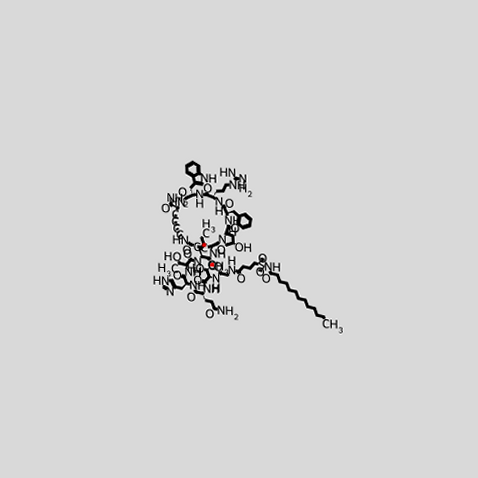 CCCCCCCCCCCCC(=O)NS(=O)(=O)CCCC(=O)NCC(=O)N[C@H](C(=O)N[C@H](CCC(N)=O)C(=O)N[C@@H](Cc1c[nH]cn1)C(=O)N[C@H](C(=O)N[C@@H](CCCC)C(=O)N[C@H]1CCC(=O)NCCCC[C@@H](C(N)=O)NC(=O)[C@H](Cc2c[nH]c3ccccc23)NC(=O)[C@H](CCCNC(=N)N)NC(=O)[C@@H](Cc2ccccc2)NC(=O)[C@@H]2C[C@@H](O)CN2C1=O)[C@@H](C)O)[C@@H](C)O